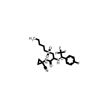 CCCCCS(=O)(=O)CC(N[C@H](c1ccc(F)cc1)C(F)(F)F)C(=O)NC1(C#N)CC1